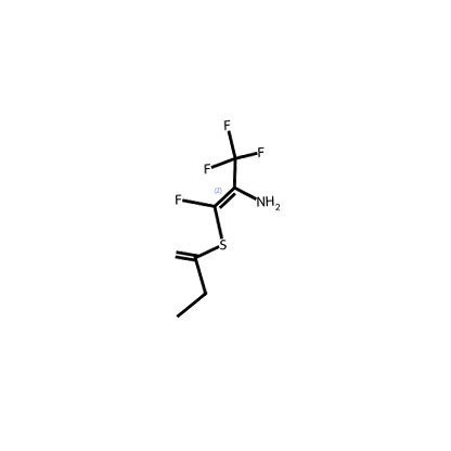 C=C(CC)S/C(F)=C(\N)C(F)(F)F